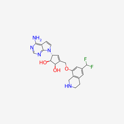 Nc1ncnc2c1ccn2[C@@H]1C=C(COc2cc(C(F)F)cc3c2CNCC3)[C@@H](O)[C@H]1O